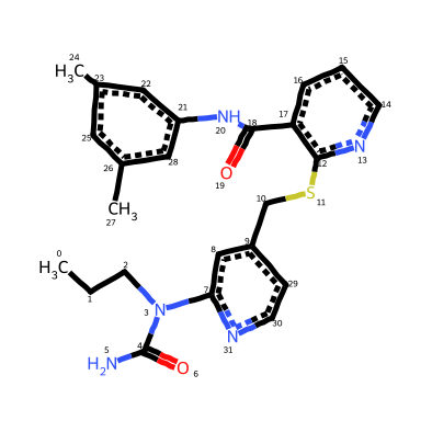 CCCN(C(N)=O)c1cc(CSc2ncccc2C(=O)Nc2cc(C)cc(C)c2)ccn1